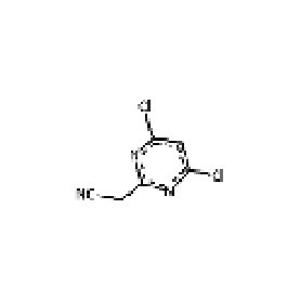 N#CCc1nc(Cl)cc(Cl)n1